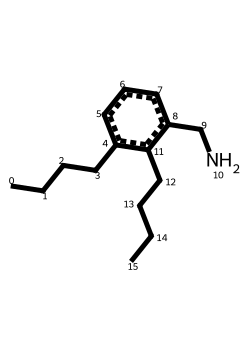 CCCCc1cccc(CN)c1CCCC